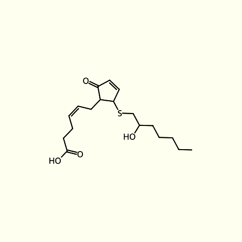 CCCCCC(O)CSC1C=CC(=O)C1C/C=C\CCC(=O)O